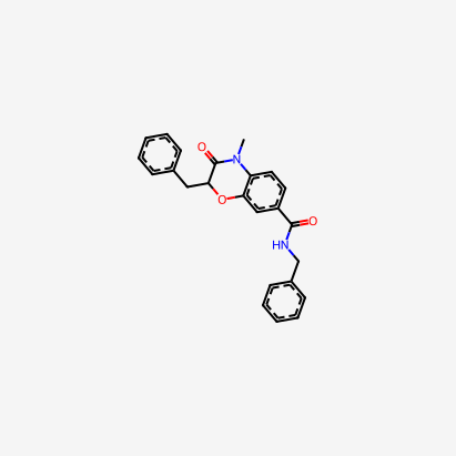 CN1C(=O)C(Cc2ccccc2)Oc2cc(C(=O)NCc3ccccc3)ccc21